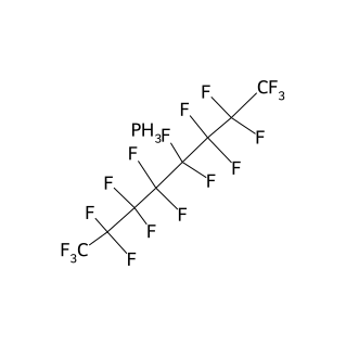 FC(F)(F)C(F)(F)C(F)(F)C(F)(F)C(F)(F)C(F)(F)C(F)(F)C(F)(F)F.P